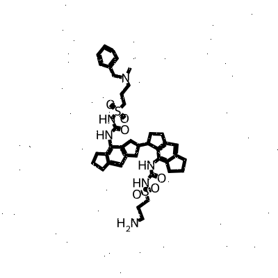 CN(CCCS(=O)(=O)NC(=O)Nc1c2c(cc3c1CC(C1CCc4cc5c(c(NC(=O)NS(=O)(=O)CCCN)c41)CCC5)C3)CCC2)Cc1ccccc1